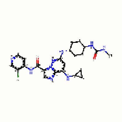 CC(C)NC(=O)N[C@H]1CC[C@H](Nc2cc(NC3CC3)c3ncc(C(=O)Nc4ccncc4F)n3n2)CC1